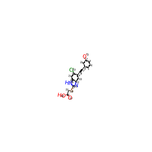 COc1cccc(C#Cc2cc3nc(SCC(=O)O)[nH]c3cc2Cl)c1